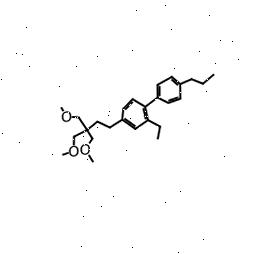 CCCc1ccc(-c2ccc(CCC(COC)(COC)COC)cc2CC)cc1